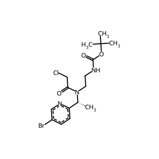 C[C@H](c1ccc(Br)cn1)N(CCNC(=O)OC(C)(C)C)C(=O)CCl